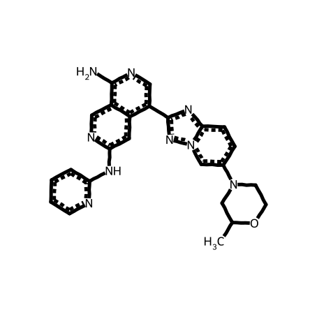 CC1CN(c2ccc3nc(-c4cnc(N)c5cnc(Nc6ccccn6)cc45)nn3c2)CCO1